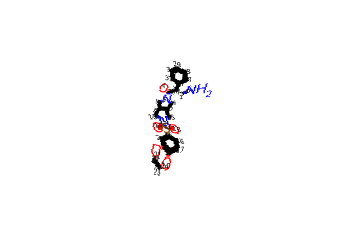 NC[C@H](C(=O)N1CC2=C(C1)CN(S(=O)(=O)c1ccc3c(c1)OCCO3)C2)c1ccccc1